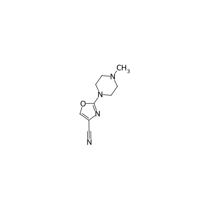 CN1CCN(c2nc(C#N)co2)CC1